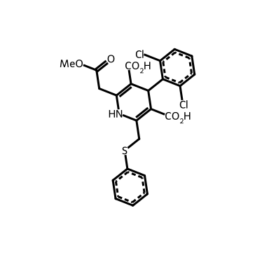 COC(=O)CC1=C(C(=O)O)C(c2c(Cl)cccc2Cl)C(C(=O)O)=C(CSc2ccccc2)N1